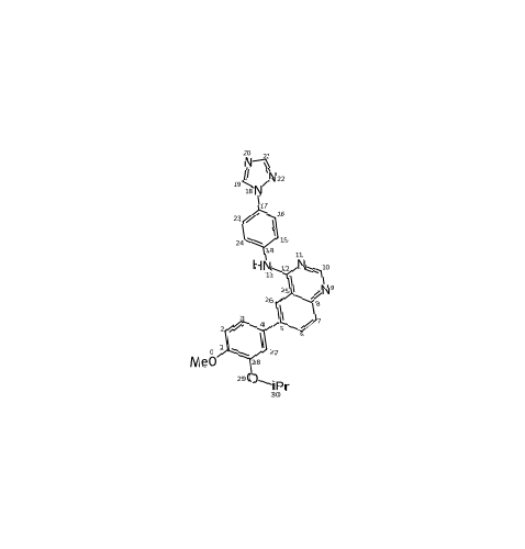 COc1ccc(-c2ccc3ncnc(Nc4ccc(-n5cncn5)cc4)c3c2)cc1OC(C)C